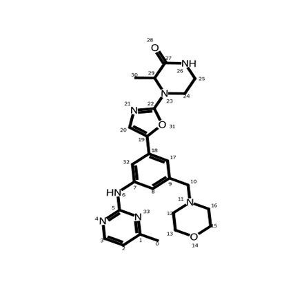 Cc1ccnc(Nc2cc(CN3CCOCC3)cc(-c3cnc(N4CCNC(=O)C4C)o3)c2)n1